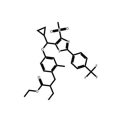 CCOC(=O)C(CC)Cc1ccc(OC(c2sc(-c3ccc(C(F)(F)F)cc3)nc2S(C)(=O)=O)C2CC2)cc1C